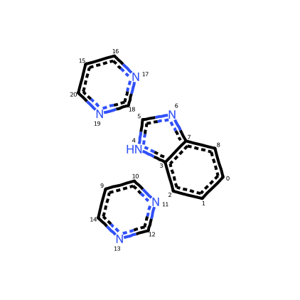 c1ccc2[nH]cnc2c1.c1cncnc1.c1cncnc1